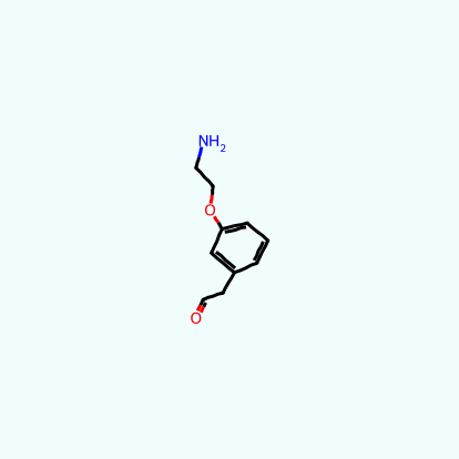 NCCOc1cccc(CC=O)c1